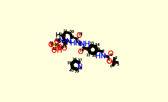 CC(C)(C)OC(=O)NCc1ccc(C(=O)NNC(=O)[C@@H]2CC[C@@H]3CN2C(=O)N3OS(=O)(=O)O)cc1.c1ccncc1